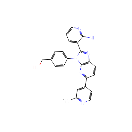 N#Cc1cc(-c2ccc3nc(-c4cccnc4N)n(-c4ccc(CO)cc4)c3n2)ccn1